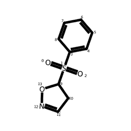 O=S(=O)(c1ccccc1)C1C[C]=NO1